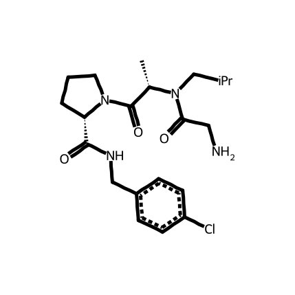 CC(C)CN(C(=O)CN)[C@@H](C)C(=O)N1CCC[C@H]1C(=O)NCc1ccc(Cl)cc1